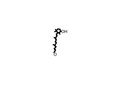 CC1=C(/C=C/C(C)=C/C=C/C(C)=C/C=C/C=O)C(C)(C)CCC1O